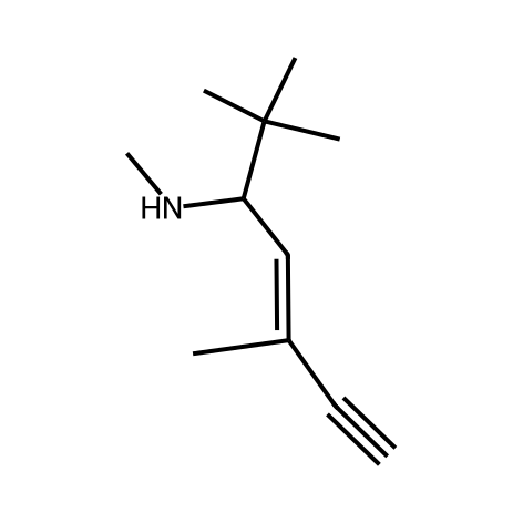 C#C/C(C)=C/C(NC)C(C)(C)C